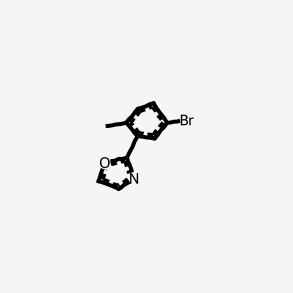 Cc1ccc(Br)cc1-c1ncco1